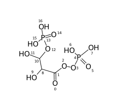 O=C(OOP(=O)(O)O)C(O)C(O)OP(=O)(O)O